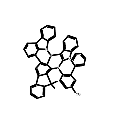 CC(C)(C)c1ccc(N2c3oc4ccccc4c3B3c4c(cc5c(c42)C(C)(C)c2ccccc2-5)-c2cccc4c5ccccc5n3c24)c(-c2ccccc2)c1